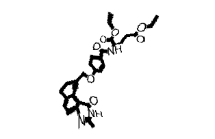 CCOC(=O)CC[C@@H](NC(=O)c1ccc(OCc2ccc3ccc4nc(C)[nH]c(=O)c4c3c2)cc1)C(=O)OCC